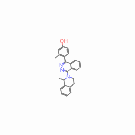 Cc1cc(O)ccc1-c1nnc(N2CCc3ccccc3C2C)c2ccccc12